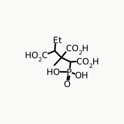 CCC(C(=O)O)C(C)(C(=O)O)C(C(=O)O)P(=O)(O)O